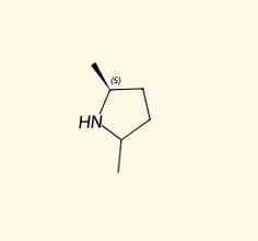 CC1CC[C@H](C)N1